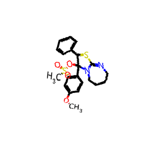 COc1ccc(C2(OS(C)(=O)=O)C(c3ccccc3)SC3=NCCCCN32)cc1